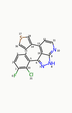 Fc1cccc(-c2n[nH]c3nccc(-c4ccsc4)c23)c1Cl